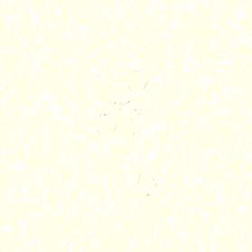 CN(CCOc1ccccc1)c1nc(-c2ccc(F)cc2)nc2ccccc12